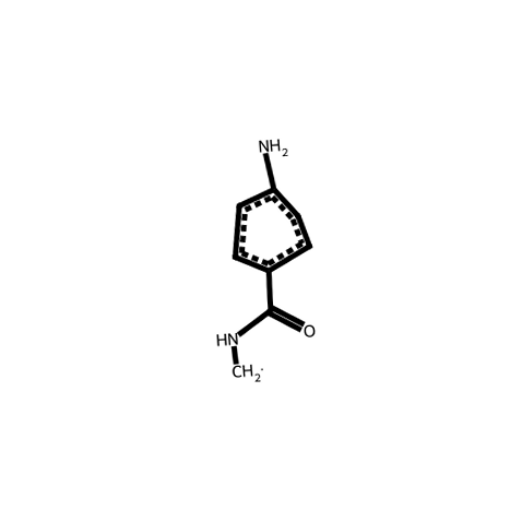 [CH2]NC(=O)c1ccc(N)cc1